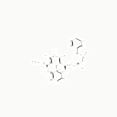 COC(=O)C1=C(C)NC(C)=C(C(=O)OCC(C)(C)CN(C)Cc2ccccc2)C1c1cccc(F)c1[N+](=O)[O-]